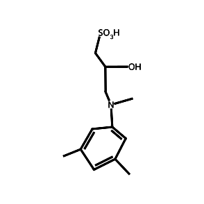 Cc1cc(C)cc(N(C)CC(O)CS(=O)(=O)O)c1